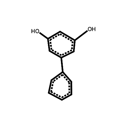 Oc1cc(O)cc(-c2ccccc2)c1